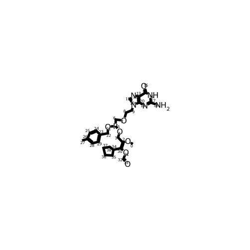 CO/C(COP(COCCn1cnc2c(=O)[nH]c(N)nc21)OCc1ccc(C)cc1)=C(\OC=O)C1CCCC1